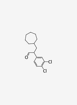 O=CC(CC1CCCCCC1)c1ccc(Cl)c(Cl)c1